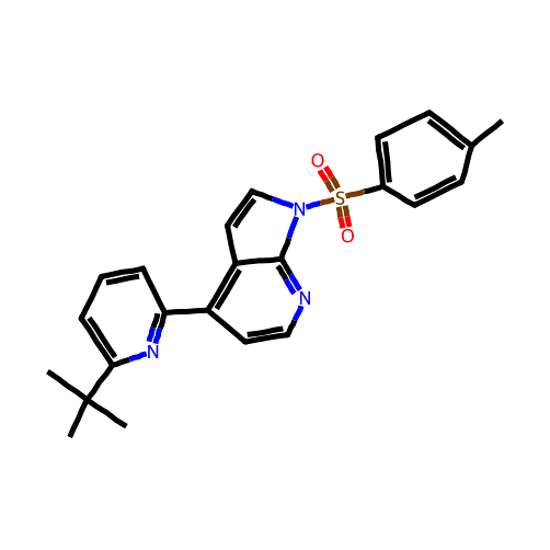 Cc1ccc(S(=O)(=O)n2ccc3c(-c4cccc(C(C)(C)C)n4)ccnc32)cc1